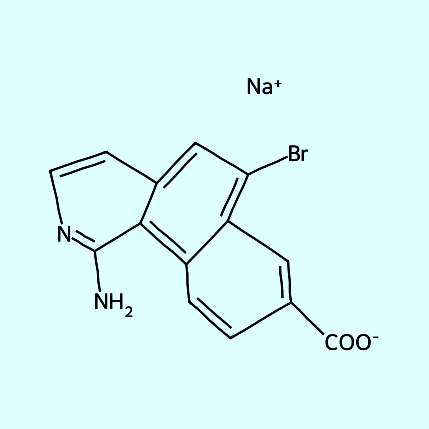 Nc1nccc2cc(Br)c3cc(C(=O)[O-])ccc3c12.[Na+]